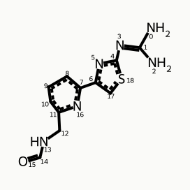 NC(N)=Nc1nc(-c2cccc(CNC=O)n2)cs1